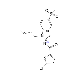 CSCCn1/c(=N/C(=O)c2ccc(Cl)s2)sc2cc(S(C)(=O)=O)ccc21